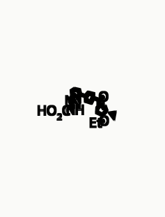 C1CC1.CCOC1CCN(C(=O)c2ccc(-c3cccc4nc(NC(=O)O)nn34)cc2)CC1